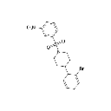 O=[N+]([O-])c1cccc(S(=O)(=O)N2CCC(C3C=CCC=C3Br)CC2)c1